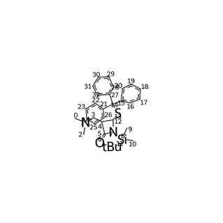 CN(C)CC1C(=O)N([Si](C)(C)C(C)(C)C)C1SC(c1ccccc1)(c1ccccc1)c1ccccc1